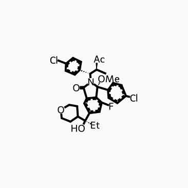 CC[C@@](O)(c1cc(F)c2c(c1)C(=O)N([C@H](c1ccc(Cl)cc1)[C@H](C)C(C)=O)[C@@]2(OC)c1ccc(Cl)cc1)C1CCOCC1